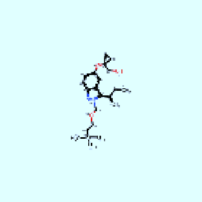 C=CC(=C)c1c2cc(OC3(CO)CC3)ccc2nn1COCC[Si](C)(C)C